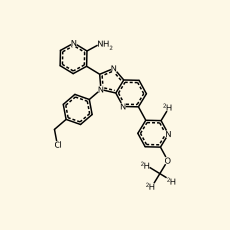 [2H]c1nc(OC([2H])([2H])[2H])ccc1-c1ccc2nc(-c3cccnc3N)n(-c3ccc(CCl)cc3)c2n1